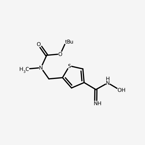 CN(Cc1cc(C(=N)NO)cs1)C(=O)OC(C)(C)C